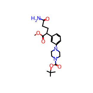 COC(=O)C(CCC(N)=O)c1cccc(N2CCN(C(=O)OC(C)(C)C)CC2)c1